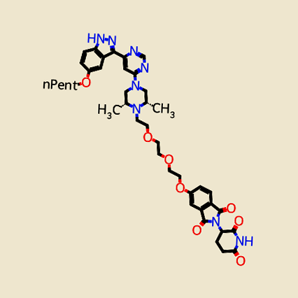 CCCCCOc1ccc2[nH]nc(-c3cc(N4C[C@@H](C)N(CCOCCOCCOc5ccc6c(c5)C(=O)N(C5CCC(=O)NC5=O)C6=O)[C@@H](C)C4)ncn3)c2c1